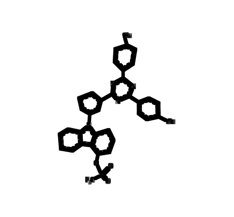 CC(C)(C)c1ccc(-c2nc(-c3ccc(C(C)(C)C)cc3)nc(-c3cccc(-n4c5ccccc5c5c(OS(=O)(=O)C(F)(F)F)cccc54)c3)n2)cc1